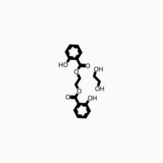 O=C(OCCOC(=O)c1ccccc1O)c1ccccc1O.OCCO